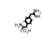 N=C(N)Cc1ccc(C[C@H](N)C(=O)O)cc1